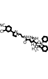 C[C@H](O[Si]1(c2ccccc2)c2ccccc2C1(C)C)c1cc(C(=O)NCCn2ccc(-c3ccc(C#N)c(Cl)c3)n2)n[nH]1